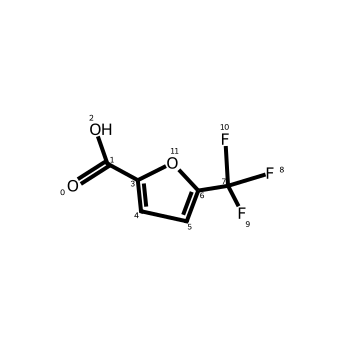 O=C(O)c1ccc(C(F)(F)F)o1